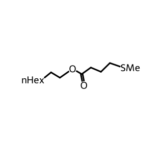 CCCCCCCCOC(=O)CCCSC